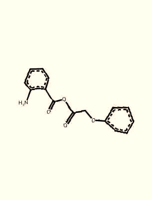 Nc1ccccc1C(=O)OC(=O)COc1ccccc1